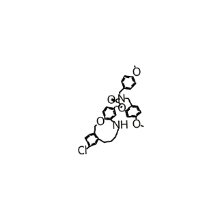 COc1ccc(CN(Cc2ccc(OC)cc2)S(=O)(=O)c2ccc3c(c2)NCCCCc2cc(Cl)ccc2CO3)cc1